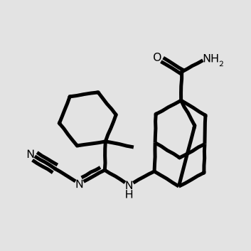 CC1(/C(=N\C#N)NC2C3CC4CC2CC(C(N)=O)(C4)C3)CCCCC1